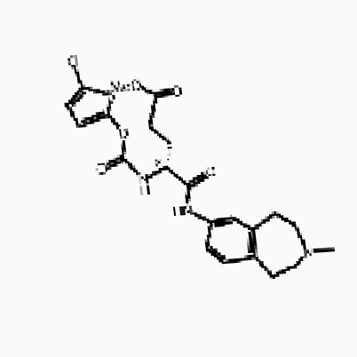 COC(=O)CC[C@@H](NC(=O)Oc1ccc(Cl)s1)C(=O)Nc1ccc2c(c1)CCN(C)CC2